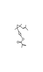 C=C(C)C(=O)OC1C2C1C2C1(C)CC1(C)C=C(C)C